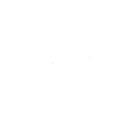 C=C1/C(=C\C=C2/CCC[C@@]3(C)C2CC[C@@H]3C/C=C/CC2(O)CCCC2)C[C@@H](O)C[C@@H]1O